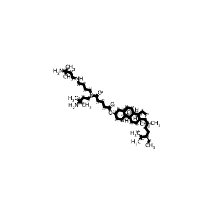 CC[C@H](CC[C@@H](C)[C@H]1CC[C@H]2[C@@H]3CC=C4C[C@@H](OC(=O)CCCC(=O)N(CCCCNCCC(C)(C)N)CCC(C)(C)N)CC[C@]4(C)[C@H]3CC[C@]12C)C(C)C